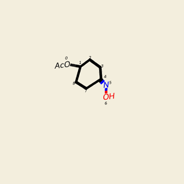 CC(=O)OC1CCC(=NO)CC1